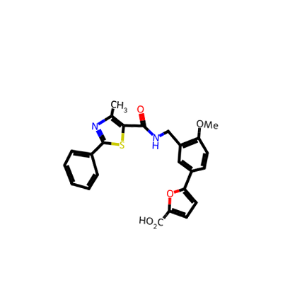 COc1ccc(-c2ccc(C(=O)O)o2)cc1CNC(=O)c1sc(-c2ccccc2)nc1C